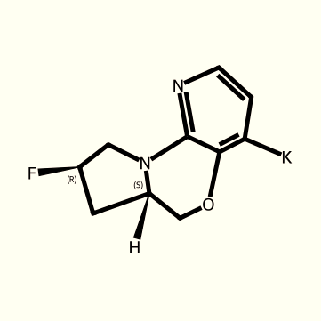 F[C@@H]1C[C@H]2COc3[c]([K])ccnc3N2C1